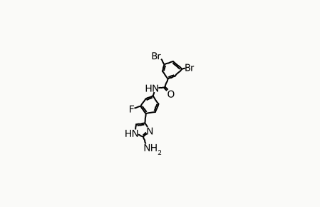 Nc1nc(-c2ccc(NC(=O)c3cc(Br)cc(Br)c3)cc2F)c[nH]1